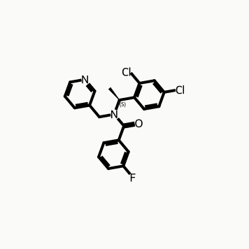 C[C@@H](c1ccc(Cl)cc1Cl)N(Cc1cccnc1)C(=O)c1cccc(F)c1